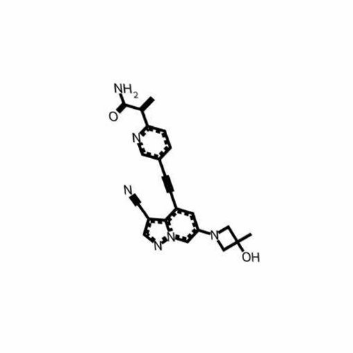 C=C(C(N)=O)c1ccc(C#Cc2cc(N3CC(C)(O)C3)cn3ncc(C#N)c23)cn1